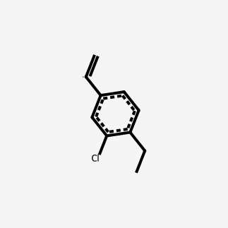 C=[C]c1ccc(CC)c(Cl)c1